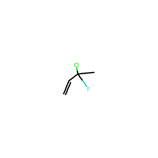 C=CC(C)(F)Cl